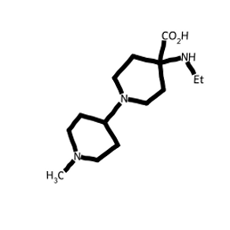 CCNC1(C(=O)O)CCN(C2CCN(C)CC2)CC1